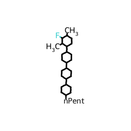 CCCCCC1CCC(C2CCC(C3CCC(C4CCC(C)C(F)C4C)CC3)CC2)CC1